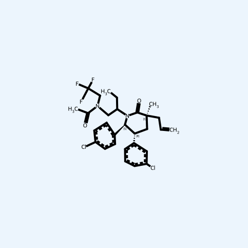 C=CC[C@@]1(C)C[C@H](c2cccc(Cl)c2)[C@@H](c2ccc(Cl)cc2)N(C(CC)CN(CC(F)(F)F)C(C)=O)C1=O